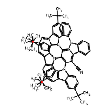 CC(C)(C)c1ccc2c(c1)c1cc(C(C)(C)C)ccc1n2-c1c(-n2c3ccc(C(C)(C)C)cc3c3cc(C(C)(C)C)ccc32)c(-n2c3ccc(C(C)(C)C)cc3c3cc(C(C)(C)C)ccc32)c2c(c1C#N)c1ccccc1n2-c1ccccc1